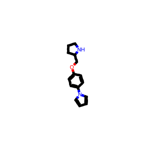 c1ccn(-c2ccc(OCC3CCCN3)cc2)c1